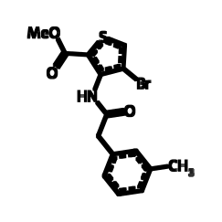 COC(=O)c1scc(Br)c1NC(=O)Cc1cccc(C)c1